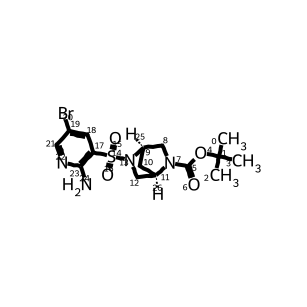 CC(C)(C)OC(=O)N1C[C@H]2C[C@@H]1CN2S(=O)(=O)c1cc(Br)cnc1N